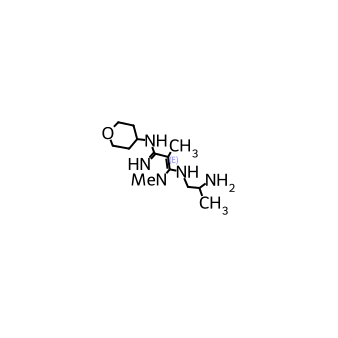 CN/C(NCC(C)N)=C(/C)C(=N)NC1CCOCC1